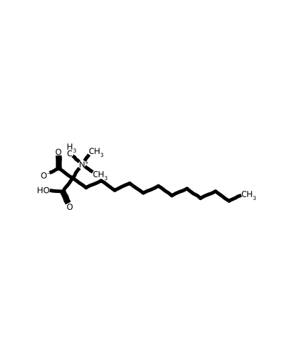 CCCCCCCCCCCCC(C(=O)[O-])(C(=O)O)[N+](C)(C)C